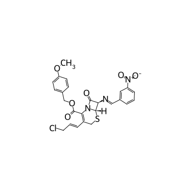 COc1ccc(COC(=O)C2=C(C=CCCl)CS[C@H]3[C@H](N=Cc4cccc([N+](=O)[O-])c4)C(=O)N23)cc1